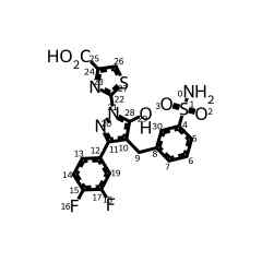 NS(=O)(=O)c1cccc(Cc2c(-c3ccc(F)c(F)c3)nn(-c3nc(C(=O)O)cs3)c2O)c1